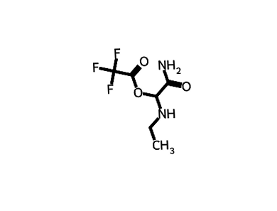 CCNC(OC(=O)C(F)(F)F)C(N)=O